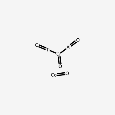 [O]=[Al][Cr](=[O])[Ti]=[O].[O]=[Co]